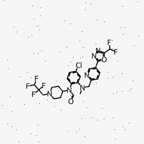 CN(Cc1ccc(-c2nnc(C(F)F)o2)cn1)c1cc(Cl)ccc1N(C=O)C1CCN(CC(F)(F)C(F)F)CC1